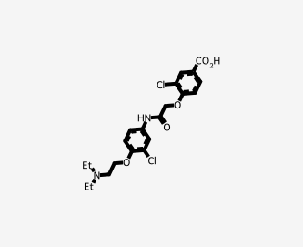 CCN(CC)CCOc1ccc(NC(=O)COc2ccc(C(=O)O)cc2Cl)cc1Cl